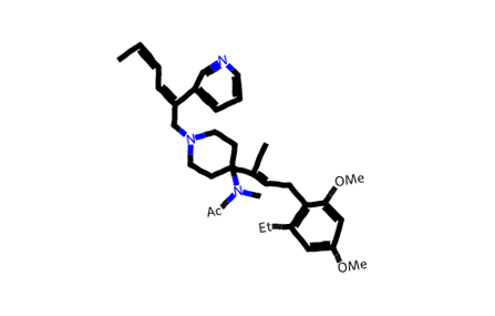 C/C=C\C=C(\CN1CCC(/C(C)=C/Cc2c(CC)cc(OC)cc2OC)(N(C)C(C)=O)CC1)c1cccnc1